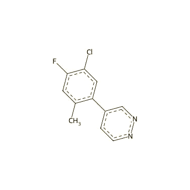 Cc1cc(F)c(Cl)cc1-c1ccnnc1